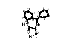 N#CSC1N=C(c2ccccc2)c2ccccc2NC1=O